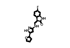 O=C1Nc2cc(F)ccc2C1=CNc1cc(-c2ccco2)[nH]n1